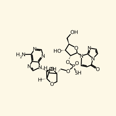 Nc1ncnc2c1ncn2[C@@H]1O[C@@]2(COP(=O)(S)O[C@@H]3[C@H](O)[C@@H](CO)O[C@H]3n3ccc(=O)n4ccnc34)CO[C@@H]1[C@@H]2O